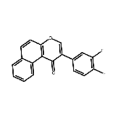 O=c1c(-c2ccc(F)c(F)c2)coc2ccc3ccccc3c12